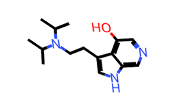 CC(C)N(CCc1c[nH]c2cncc(O)c12)C(C)C